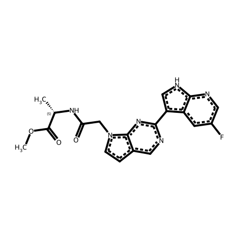 COC(=O)[C@H](C)NC(=O)Cn1ccc2cnc(-c3c[nH]c4ncc(F)cc34)nc21